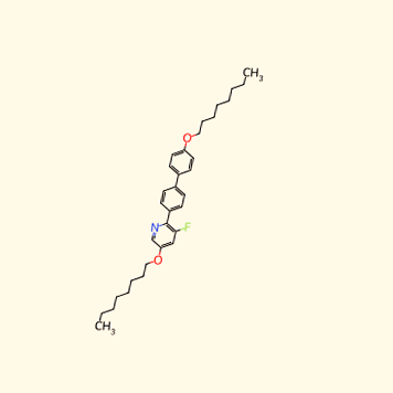 CCCCCCCCOc1ccc(-c2ccc(-c3ncc(OCCCCCCCC)cc3F)cc2)cc1